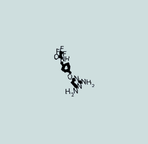 Nc1cc(OCc2ccc(CNC(=O)C(F)(F)F)cc2)nc(N)n1